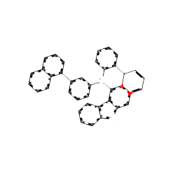 C1=CCC(c2ccccc2N(c2cccc(-c3cccc4ccccc34)c2)c2cccc3sc4ccccc4c23)C=C1